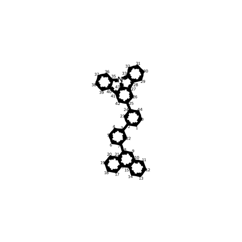 c1cc(-c2cccc(-c3cc4ccccc4c4ccccc34)c2)cc(-c2cc3c4ccccc4n4c5ccccc5c(c2)c34)c1